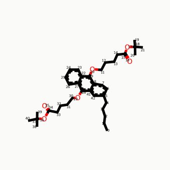 CCCCCc1ccc2c(OCCCCC(=O)OC(C)(C)C)c3ccccc3c(OCCCCC(=O)OC(C)(C)C)c2c1